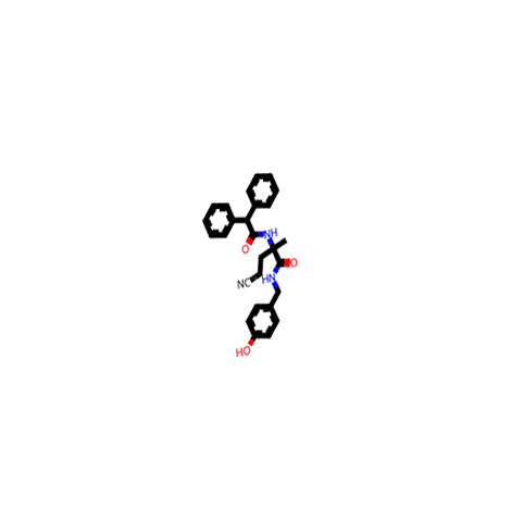 CC(CCC#N)(NC(=O)C(c1ccccc1)c1ccccc1)C(=O)NCc1ccc(O)cc1